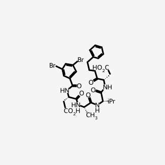 CC(C)[C@H](NC(=O)[C@H](C)NC(=O)[C@H](CC(=O)O)NC(=O)c1cc(Br)cc(Br)c1)C(=O)N[C@@H](CC(=O)O)C(=O)CCCc1ccccc1